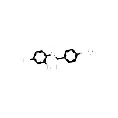 COc1ccc(CNc2ccc(C#N)cc2N)cc1